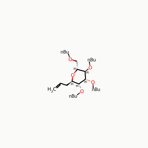 C=CC[C@H]1O[C@H](COCCCC)[C@@H](OCCCC)[C@H](OCCCC)[C@@H]1OCCCC